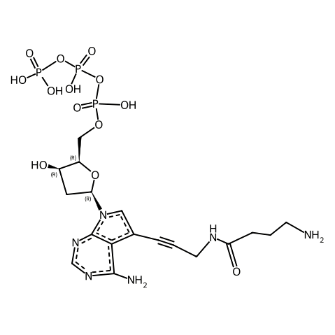 NCCCC(=O)NCC#Cc1cn([C@H]2C[C@@H](O)[C@@H](COP(=O)(O)OP(=O)(O)OP(=O)(O)O)O2)c2ncnc(N)c12